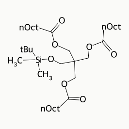 CCCCCCCCC(=O)OCC(COC(=O)CCCCCCCC)(COC(=O)CCCCCCCC)CO[Si](C)(C)C(C)(C)C